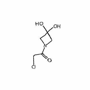 O=C(CCl)N1CC(O)(O)C1